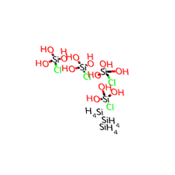 O[Si](O)(O)Cl.O[Si](O)(O)Cl.O[Si](O)(O)Cl.O[Si](O)(O)Cl.[SiH4].[SiH4].[SiH4]